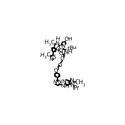 Cc1ncsc1-c1ccc([C@H](C)NC(=O)[C@H]2C[C@H](O)CN2C(O)[C@@H](NC(=O)COCCOCCOc2ccc(-c3nccc(Nc4cc5c(cn4)nc(C)n5C(C)C)n3)cc2)C(C)(C)C)cc1